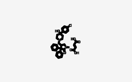 CN1CC(CN2CCC(O)(c3ccc(Cl)cc3)CC2)C(c2ccccc2)(c2ccccc2)C1=O.O=C(O)C=CC(=O)O